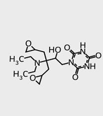 CCN(CC)C(CC1CO1)(CC1CO1)C(O)Cn1c(=O)[nH]c(=O)[nH]c1=O